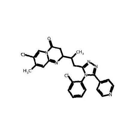 CC1=CC2=NC(C(C)Cc3nnc(-c4ccncc4)n3-c3ccccc3Cl)CC(=O)N2C=C1Cl